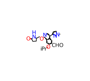 CC(C)Oc1cc2c(OCC3CCC(=O)N3)ncc(-c3ccn(C)n3)c2cc1C=O